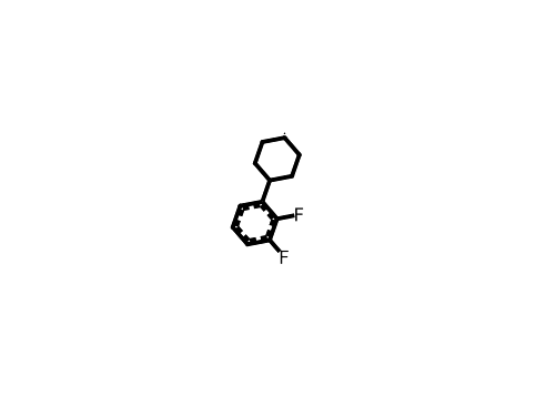 Fc1cccc(C2CC[CH]CC2)c1F